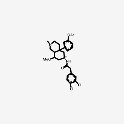 COC1C[C@@H](NC(=O)Cc2ccc(Cl)c(Cl)c2)CC2(c3cccc(OC(C)=O)c3)CCN(C)CC12